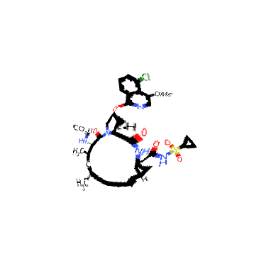 COc1cnc(O[C@@H]2C[C@H]3C(=O)N[C@]4(C(=O)NS(=O)(=O)C5CC5)C[C@H]4/C=C\CC[C@H](C)C[C@@H](C)[C@H](NC(=O)O)C(=O)N3C2)c2cccc(Cl)c12